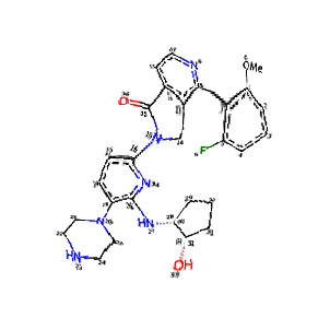 COc1cccc(F)c1-c1nccc2c1CN(c1ccc(N3CCNCC3)c(N[C@@H]3CCC[C@@H]3O)n1)C2=O